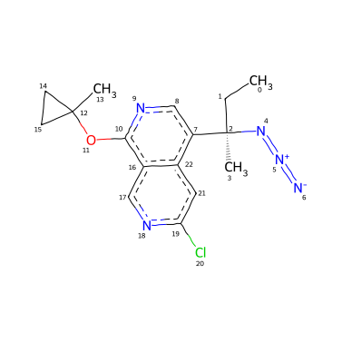 CC[C@@](C)(N=[N+]=[N-])c1cnc(OC2(C)CC2)c2cnc(Cl)cc12